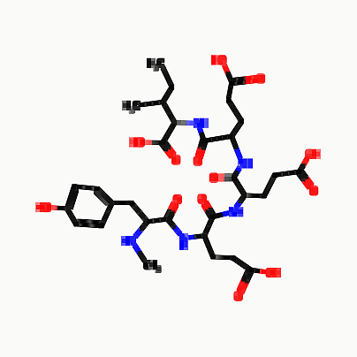 CCC(C)C(NC(=O)C(CCC(=O)O)NC(=O)C(CCC(=O)O)NC(=O)C(CCC(=O)O)NC(=O)C(Cc1ccc(O)cc1)NC)C(=O)O